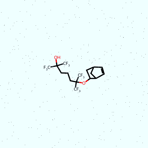 OC(CCCC(OC1CC2C=CC1C2)(C(F)(F)F)C(F)(F)F)(C(F)(F)F)C(F)(F)F